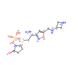 N[C@@H](CC[C@@H]1CCC(=O)N1OS(=O)(=O)O)c1cc(CNC2CNC2)on1